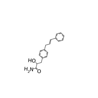 NC(=O)C(O)Cc1ccc(CC=Cc2ccccc2)cc1